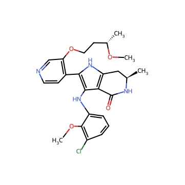 COc1c(Cl)cccc1Nc1c(-c2ccncc2OCC[C@H](C)OC)[nH]c2c1C(=O)N[C@H](C)C2